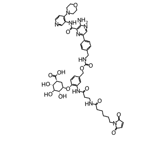 Nc1ncc(-c2ccc(CNC(=O)OCc3ccc(O[C@@H]4C[C@H](C(=O)O)[C@@H](O)[C@H](O)[C@H]4O)c(NC(=O)CCNC(=O)CCCCCN4C(=O)C=CC4=O)c3)cc2)nc1C(=O)Nc1cnccc1N1CCOCC1